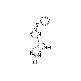 Clc1ncc2c(-c3ccn(Sc4ccccc4)n3)c[nH]c2n1